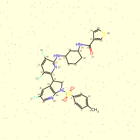 Cc1ccc(S(=O)(=O)N2CC(c3nc(NC4CCCC(NC(=O)c5ccsc5)C4)c(F)cc3F)c3cc(F)cnc32)cc1